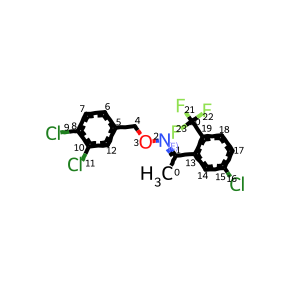 C/C(=N\OCc1ccc(Cl)c(Cl)c1)c1cc(Cl)ccc1C(F)(F)F